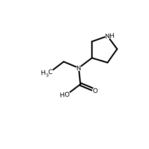 CCN(C(=O)O)C1CCNC1